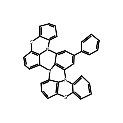 c1ccc(-c2cc3c4c(c2)N2c5ccccc5Sc5cccc(c52)B4c2cccc4c2N3c2ccccc2S4)cc1